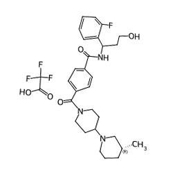 C[C@@H]1CCCN(C2CCN(C(=O)c3ccc(C(=O)NC(CCO)c4ccccc4F)cc3)CC2)C1.O=C(O)C(F)(F)F